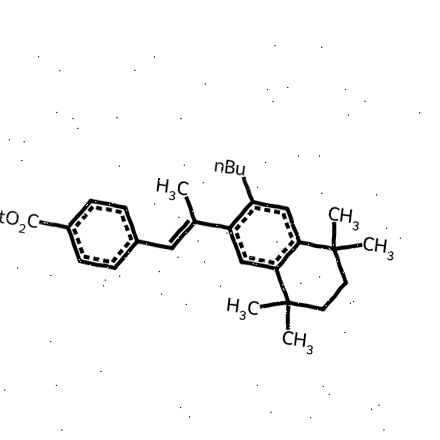 CCCCc1cc2c(cc1/C(C)=C/c1ccc(C(=O)OCC)cc1)C(C)(C)CCC2(C)C